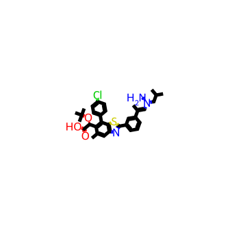 C/C(=C\N(N)CC(C)C)c1cccc(-c2nc3cc(C)c([C@H](OC(C)(C)C)C(=O)O)c(-c4ccc(Cl)cc4)c3s2)c1